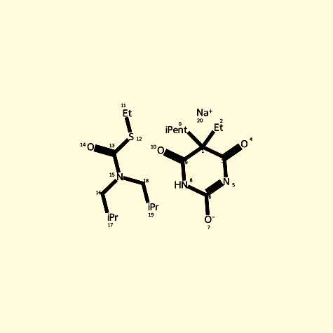 CCCC(C)C1(CC)C(=O)N=C([O-])NC1=O.CCSC(=O)N(CC(C)C)CC(C)C.[Na+]